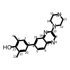 Cc1cc(-c2ccc3ncc(N4CC[N]CC4)nc3c2)cc(C)c1O